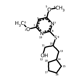 COc1cc(OC)nc(SC(CO)CC2CCCC2)n1